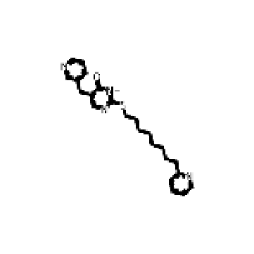 O=c1[nH]c(SCCCCCCCCc2ccccn2)ncc1Cc1cccnc1